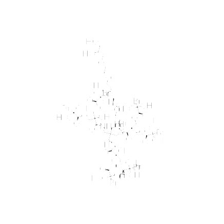 CC(C)(Br)C(=O)OCC(C)(COC(=O)C(C)(C)Br)C(=O)NCC(CNC(=O)C(C)(COC(=O)C(C)(C)Br)COC(=O)C(C)(C)Br)(CNC(=O)C(C)(COC(=O)C(C)(C)Br)COC(=O)C(C)(C)Br)COCCOCCOCCOCCOCC(O)CO